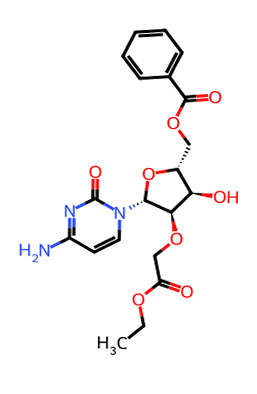 CCOC(=O)CO[C@@H]1[C@H](O)[C@@H](COC(=O)c2ccccc2)O[C@H]1n1ccc(N)nc1=O